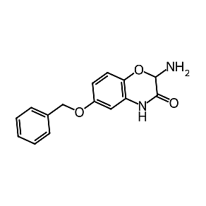 NC1Oc2ccc(OCc3ccccc3)cc2NC1=O